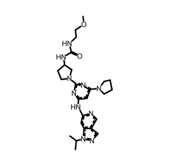 COCCNC(=O)NC1CCN(c2nc(Nc3cc4c(cn3)cnn4C(C)C)cc(N3CCCC3)n2)C1